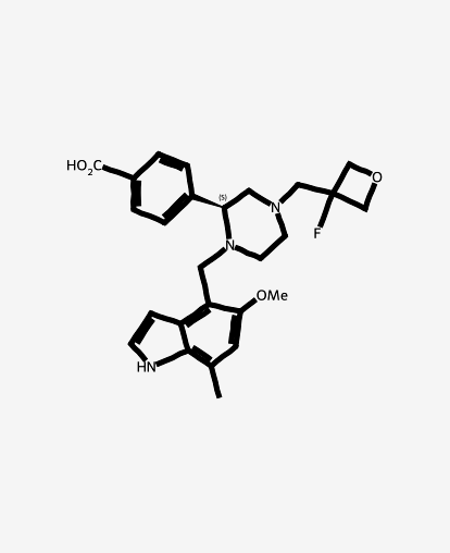 COc1cc(C)c2[nH]ccc2c1CN1CCN(CC2(F)COC2)C[C@@H]1c1ccc(C(=O)O)cc1